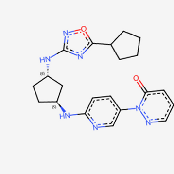 O=c1cccnn1-c1ccc(N[C@H]2CC[C@H](Nc3noc(C4CCCC4)n3)C2)nc1